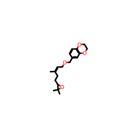 CC(=CCOCc1ccc2c(c1)OCCO2)CCC1OC1(C)C